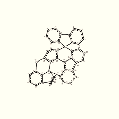 c1ccc2c(c1)-c1ccccc1[Si]21c2ccc3c4c2-n2c5c1cncc5c1ncc[n+](c12)[N+]41c2c(cccc2-c2cccc[n+]21)O3